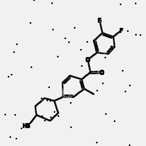 Cc1cc(C2CCC(S)CC2)ccc1C(=O)Oc1ccc(F)c(F)c1